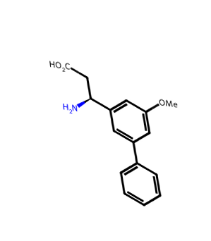 COc1cc(-c2ccccc2)cc([C@@H](N)CC(=O)O)c1